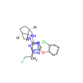 Cc1cc(N2C[C@H]3CC[C@@H](C2)[C@@H]3Nc2nc(Oc3ccccc3Cl)n(CCF)n2)ncn1